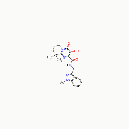 CC(=O)n1nc(CNC(=O)c2nc3n(c(=O)c2O)CCOC3(C)C)c2ccccc21